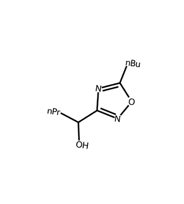 CCCCc1nc(C(O)CCC)no1